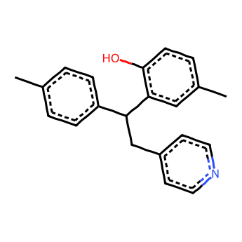 Cc1ccc(C(Cc2ccncc2)c2cc(C)ccc2O)cc1